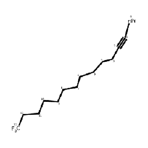 [CH2]CCC#CCCCCCCCCCCC(F)(F)F